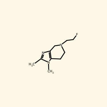 Cc1nc2c(n1C)CCN(CCF)C2